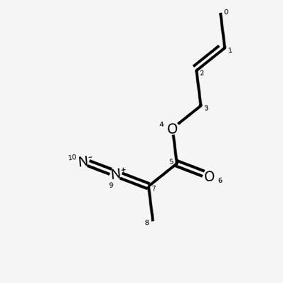 CC=CCOC(=O)C(C)=[N+]=[N-]